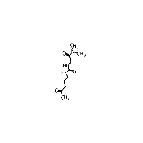 CC(=O)CCCNC(=O)NCC(=O)N(C)C